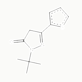 CC(C)(C)N1N=C(c2cccs2)CC1=O